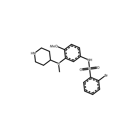 COc1ccc(NS(=O)(=O)c2ccccc2Br)cc1N(C)C1CCNCC1